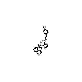 O=S(=O)(Nc1ncccc1NCC=Cc1ccc(Cl)cc1)c1cccc2cnccc12